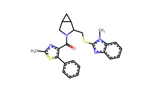 Cc1nc(C(=O)N2CC3CC3C2CSc2nc3ccccc3n2C)c(-c2ccccc2)s1